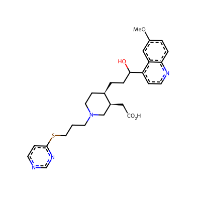 COc1ccc2nccc(C(O)CC[C@@H]3CCN(CCCSc4ccncn4)C[C@@H]3CC(=O)O)c2c1